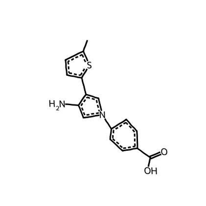 Cc1ccc(-c2cn(-c3ccc(C(=O)O)cc3)cc2N)s1